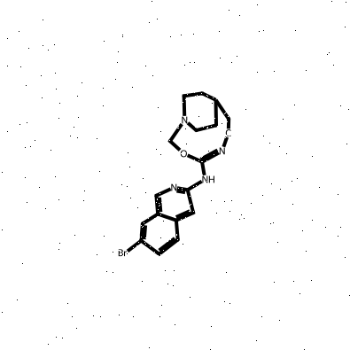 Brc1ccc2cc(N/C3=N/CCC4CCN(CC4)CO3)ncc2c1